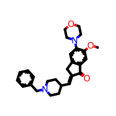 COc1cc2c(cc1N1CCOCC1)CC(=CC1CCN(Cc3ccccc3)CC1)C2=O